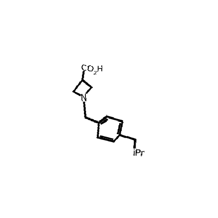 CC(C)Cc1ccc(CN2CC(C(=O)O)C2)cc1